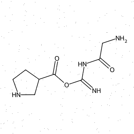 N=C(NC(=O)CN)OC(=O)C1CCNC1